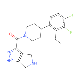 CCc1c(C2CCN(C(=O)c3n[nH]c4c3CNC4)CC2)ccc(F)c1F